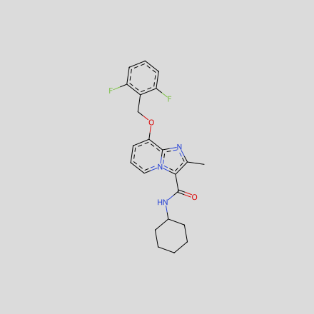 Cc1nc2c(OCc3c(F)cccc3F)cccn2c1C(=O)NC1CCCCC1